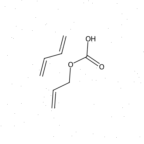 C=CC=C.C=CCOC(=O)O